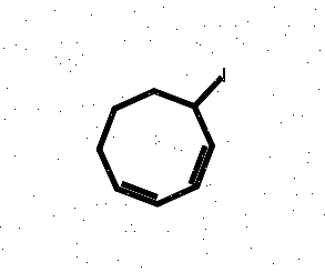 IC1/C=C\C=C/CCC1